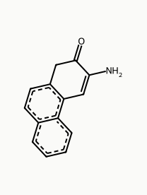 NC1=Cc2c(ccc3ccccc23)CC1=O